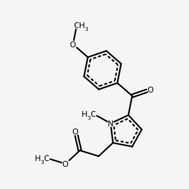 COC(=O)Cc1ccc(C(=O)c2ccc(OC)cc2)n1C